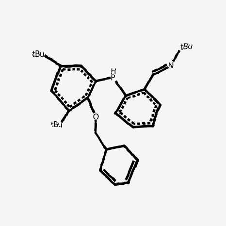 CC(C)(C)/N=C/c1ccccc1Pc1cc(C(C)(C)C)cc(C(C)(C)C)c1OCC1C=CC=CC1